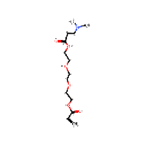 C=CC(=O)OCCOCCOCCOC(=O)CCN(C)CCCC